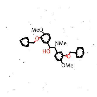 CN[C@H](c1ccc(OC)c(OCc2ccccc2)c1)[C@@H](O)c1ccc(OC)c(OCc2ccccc2)c1